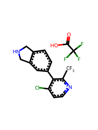 FC(F)(F)c1nccc(Cl)c1-c1ccc2c(c1)CNC2.O=C(O)C(F)(F)F